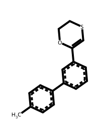 Cc1ccc(-c2cccc(C3=CSCCO3)c2)cc1